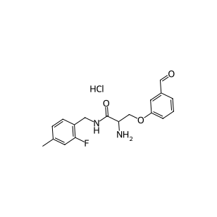 Cc1ccc(CNC(=O)C(N)COc2cccc(C=O)c2)c(F)c1.Cl